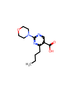 CCCCc1nc(N2CCOCC2)ncc1C(=O)O